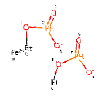 CCO[PH](=O)[O-].CCO[PH](=O)[O-].[Fe+2]